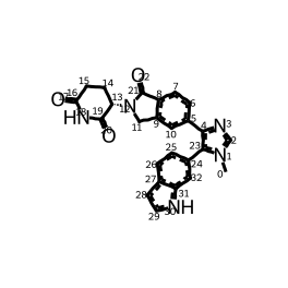 Cn1cnc(-c2ccc3c(c2)CN([C@H]2CCC(=O)NC2=O)C3=O)c1-c1ccc2cc[nH]c2c1